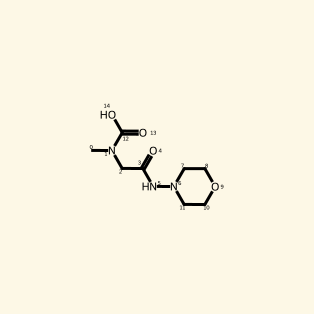 CN(CC(=O)NN1CCOCC1)C(=O)O